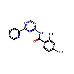 CC(=O)Nc1ccc(C(=O)Nc2ncnc(-c3ccccn3)n2)c(C)c1